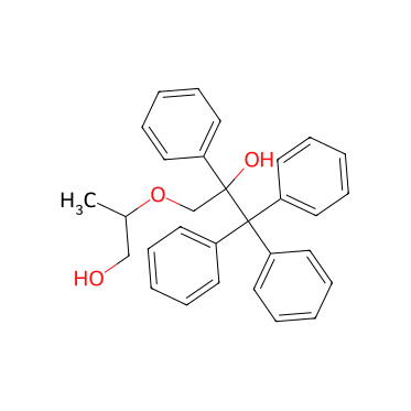 CC(CO)OCC(O)(c1ccccc1)C(c1ccccc1)(c1ccccc1)c1ccccc1